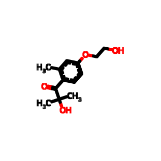 Cc1cc(OCCO)ccc1C(=O)C(C)(C)O